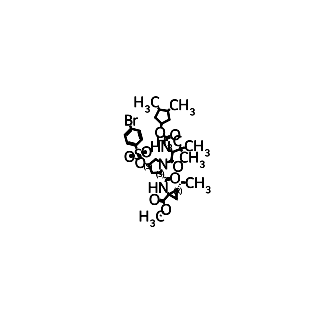 CC[C@@H]1CC1(NC(=O)[C@@H]1C[C@H](OS(=O)(=O)c2ccc(Br)cc2)CN1C(=O)C(NC(=O)OC1CC(C)C(C)C1)C(C)(C)C)C(=O)OC